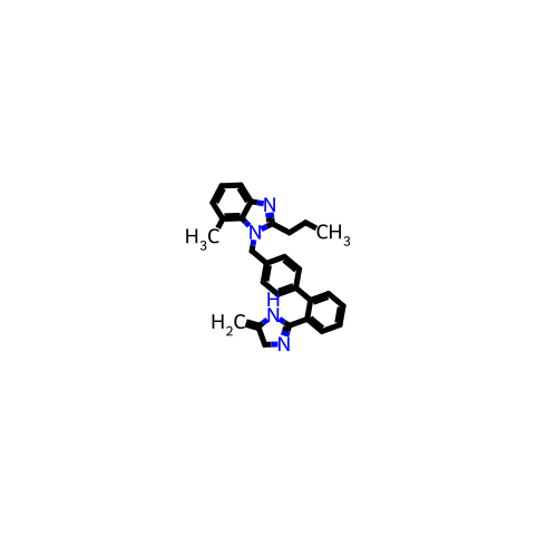 C=C1CN=C(c2ccccc2-c2ccc(Cn3c(CCC)nc4cccc(C)c43)cc2)N1